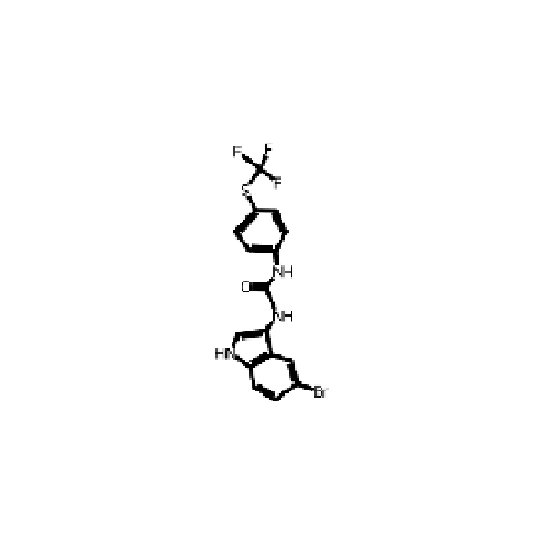 O=C(Nc1ccc(SC(F)(F)F)cc1)Nc1c[nH]c2ccc(Br)cc12